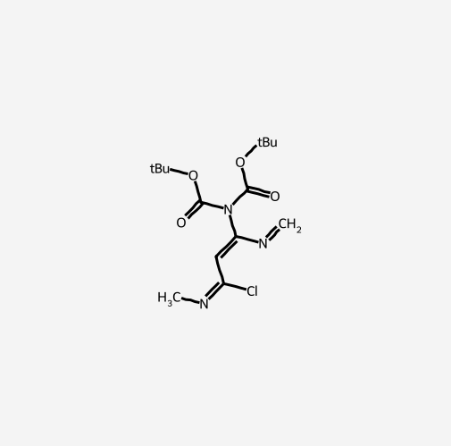 C=N/C(=C\C(Cl)=N/C)N(C(=O)OC(C)(C)C)C(=O)OC(C)(C)C